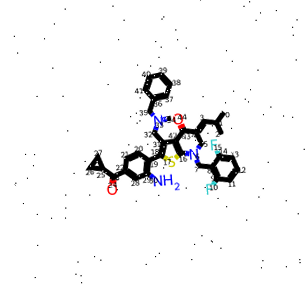 CC(C)C=C1CN(Cc2c(F)cccc2F)c2sc(-c3ccc(C(=O)C4CC4)cc3N)c(CN(C)Cc3ccccc3)c2C1=O